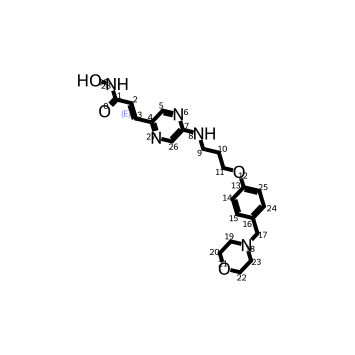 O=C(/C=C/c1cnc(NCCCOc2ccc(CN3CCOCC3)cc2)cn1)NO